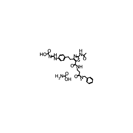 CC(=O)Nc1nc(CCc2ccc(NC=NC(=O)O)cc2)c(C(=O)NCCC(=O)N(C)Cc2ccccc2)s1.NC(=O)O